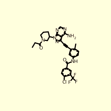 CCC(=O)N1CCCC(n2nc(C#Cc3cc(NC(=O)c4ccc(Cl)c(C(F)(F)F)c4)ccc3C)c3c(N)ncnc32)C1